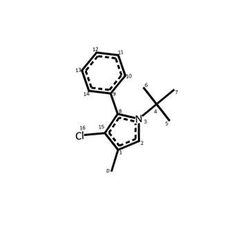 Cc1cn(C(C)(C)C)c(-c2ccccc2)c1Cl